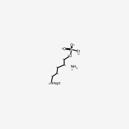 CCCCCCCCCCCCOS(=O)(=O)CC.N